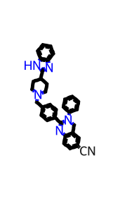 N#Cc1ccc2c(c1)CN(c1ccccc1)C(c1ccc(CN3CCC(c4nc5ccccc5[nH]4)CC3)cc1)=N2